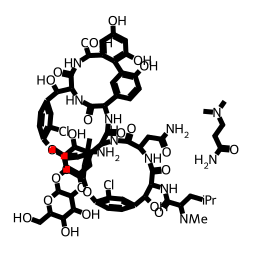 CN(C)CCC(N)=O.CNC(CC(C)C)C(=O)NC1C(=O)NC(CC(N)=O)C(=O)NC2C(=O)NC3C(=O)NC(C(=O)NC(C(=O)O)c4cc(O)cc(O)c4-c4cc3ccc4O)C(O)c3ccc(c(Cl)c3)Oc3cc2cc(c3OC2OC(CO)C(O)C(O)C2OC2CC(C)(N)C(O)C(C)O2)Oc2ccc(cc2Cl)C1O